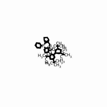 CC(C)(C)c1cc(C(C)(C)C)c2op(OCC3C4CCC(C4)C3P(c3ccccc3)c3ccccc3)oc3c(C(C)(C)C)cc(C(C)(C)C)cc3c2c1